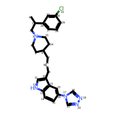 CC(CN1CCC(CCCc2c[nH]c3ccc(-n4cnnc4)cc23)CC1)c1cccc(Cl)c1